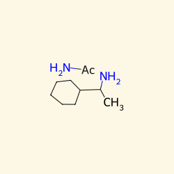 CC(N)=O.CC(N)C1CCCCC1